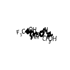 CC1CC(O)(C23CC(C(F)(F)F)(C2)C3)CC(COc2cc(C(F)(F)F)c3c(cnn3C3CC(C)(O)C3)c2)N1